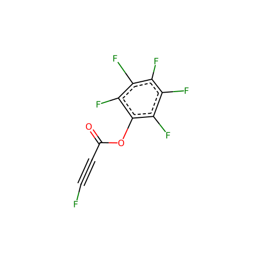 O=C(C#CF)Oc1c(F)c(F)c(F)c(F)c1F